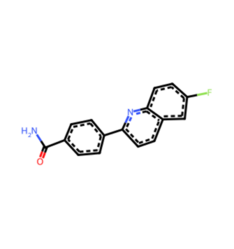 NC(=O)c1ccc(-c2ccc3cc(F)ccc3n2)cc1